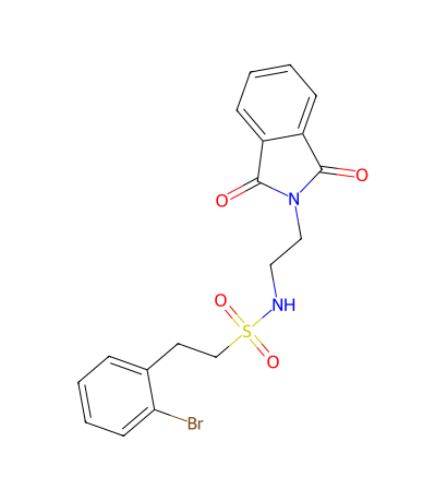 O=C1c2ccccc2C(=O)N1CCNS(=O)(=O)CCc1ccccc1Br